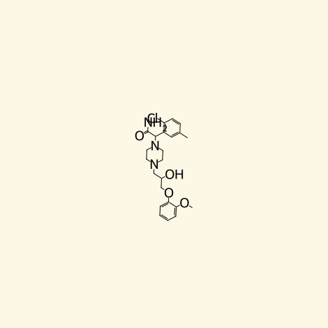 COc1ccccc1OCC(O)CN1CCN(C(C(N)=O)c2cc(C)ccc2Cl)CC1